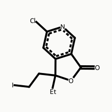 CCC1(CCI)OC(=O)c2cnc(Cl)cc21